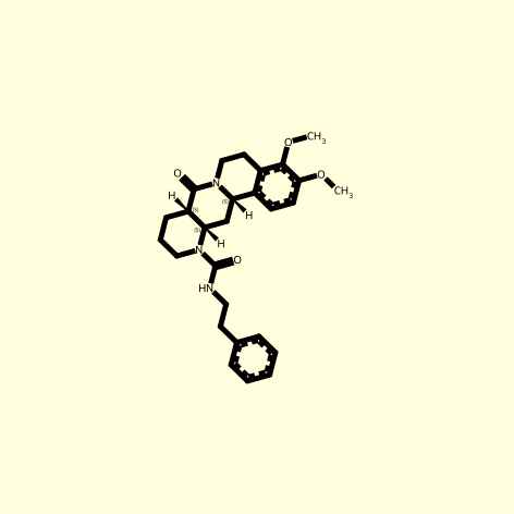 COc1ccc2c(c1OC)CCN1C(=O)[C@H]3CCCN(C(=O)NCCc4ccccc4)[C@H]3C[C@@H]21